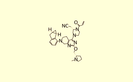 C=CC(=O)N1CCN(c2nc(OC[C@@H]3CCCN3C)nc3c2CCN(c2cccc4c2[C@@H]2C[C@@H]2C4)C3)C[C@@H]1CC#N